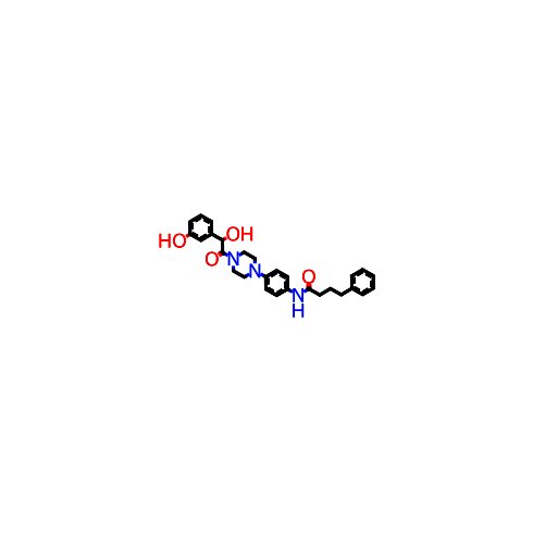 O=C(CCCc1ccccc1)Nc1ccc(N2CCN(C(=O)C(O)c3cccc(O)c3)CC2)cc1